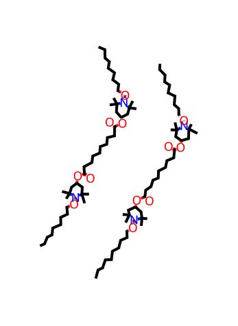 CCCCCCCCCCON1C(C)(C)CC(OC(=O)CCCCCCCCC(=O)OC2CC(C)(C)N(OCCCCCCCCCC)C(C)(C)C2)CC1(C)C.CCCCCCCCCON1C(C)(C)CC(OC(=O)CCCCCCCCC(=O)OC2CC(C)(C)N(OCCCCCCCCC)C(C)(C)C2)CC1(C)C